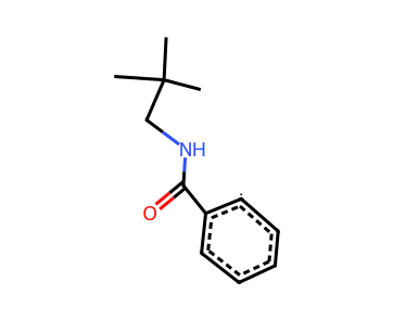 CC(C)(C)CNC(=O)c1[c]cccc1